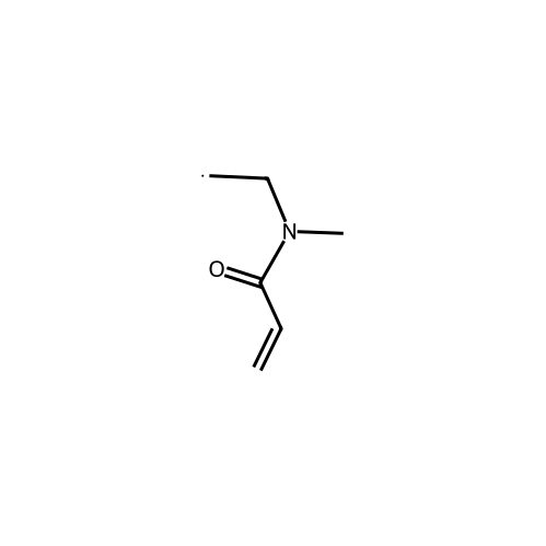 [CH2]CN(C)C(=O)C=C